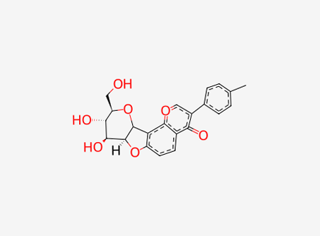 Cc1ccc(-c2coc3c4c(ccc3c2=O)O[C@@H]2C4O[C@H](CO)[C@@H](O)[C@@H]2O)cc1